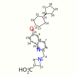 O=C(O)C1CN(Cc2ccc3cc(O[C@H]4CC[C@H](C5CCCC5)CC4)ccc3n2)C1